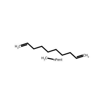 C=CCCCCCCC=C.CCCCCC